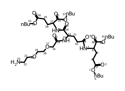 CCCCOC(=O)CCC(NC(=O)CCC(NC(=O)COCCOCCN)C(=O)NC(CCC(=O)OCCCC)C(=O)OCCCC)C(=O)OCCCC